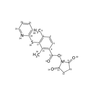 Cc1ccc(C(=O)ON2C(=O)CCC2=O)c(C)c1Sc1ccccn1